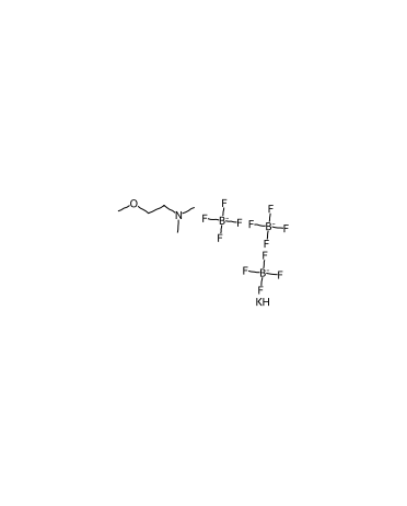 COCCN(C)C.F[B-](F)(F)F.F[B-](F)(F)F.F[B-](F)(F)F.[KH]